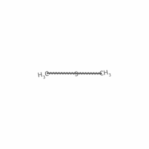 CCCCCCCCCCCCCCCCCCCCC[CH]SCCCCCCCCCCCCCCCCCCC